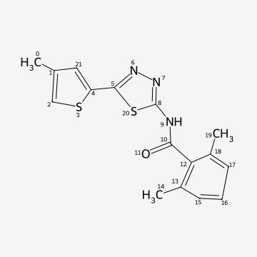 Cc1csc(-c2nnc(NC(=O)c3c(C)cccc3C)s2)c1